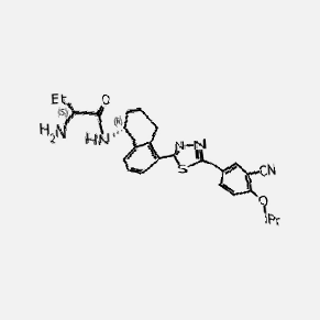 CC[C@H](N)C(=O)N[C@@H]1CCCc2c(-c3nnc(-c4ccc(OC(C)C)c(C#N)c4)s3)cccc21